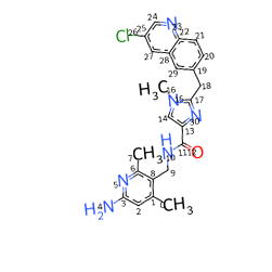 Cc1cc(N)nc(C)c1CNC(=O)c1cn(C)c(Cc2ccc3ncc(Cl)cc3c2)n1